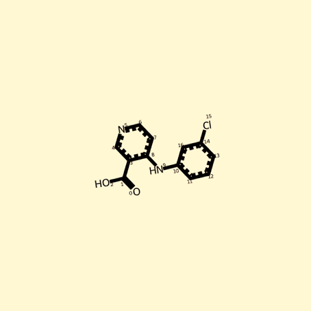 O=C(O)c1cnccc1Nc1cccc(Cl)c1